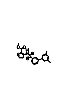 COC(=O)c1sccc1NS(=O)(=O)c1cccc(-c2cc(C)cc(C)c2)c1